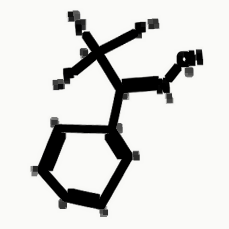 O/N=C(/c1ccccc1)C(F)(F)F